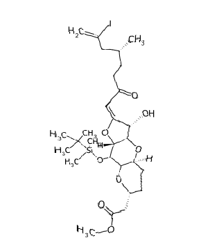 C=C(I)C[C@H](C)CCC(=O)/C=C1/O[C@H]2C(O[Si](C)(C)C(C)(C)C)C3O[C@@H](CC(=O)OC)CC[C@@H]3OC2[C@H]1O